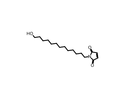 O=C1C=CC(=O)N1CCCCCCCCCCCCCO